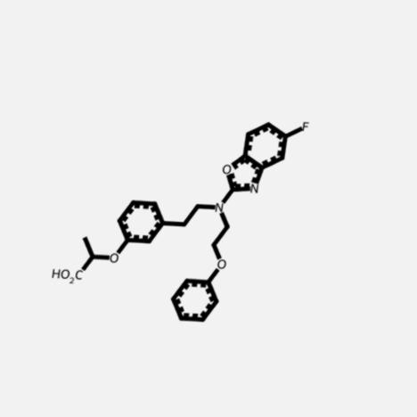 CC(Oc1cccc(CCN(CCOc2ccccc2)c2nc3cc(F)ccc3o2)c1)C(=O)O